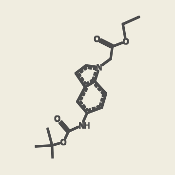 CCOC(=O)Cn1ccc2cc(NC(=O)OC(C)(C)C)ccc21